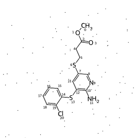 COC(=O)CCSc1cnc(N)c(Sc2ccccc2Cl)c1